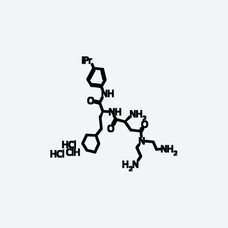 CC(C)c1ccc(NC(=O)[C@H](CCC2CCCCC2)NC(=O)[C@@H](N)CC(=O)N(CCN)CCN)cc1.Cl.Cl.Cl